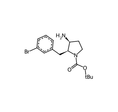 CC(C)(C)OC(=O)N1CC[C@H](N)[C@@H]1Cc1cccc(Br)c1